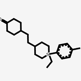 CC[Si]1(c2ccc(C)cc2)CCC(CCC2CCC(=O)CC2)CC1